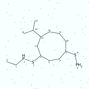 CCPSC1CCC(SP)CCCC(C(C)C)C1